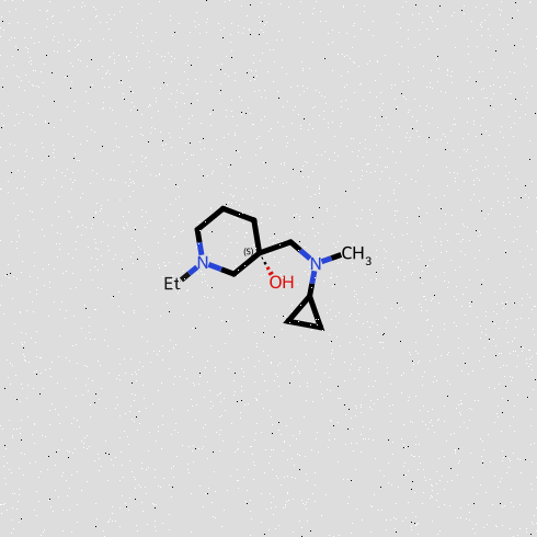 CCN1CCC[C@@](O)(CN(C)C2CC2)C1